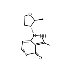 Cc1[nH]n([C@@H]2CCO[C@H]2C)c2ccnc(=O)c1-2